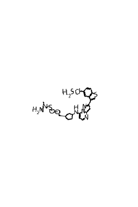 CN(N)SOOCC1CCC(Nc2ccnc3cc(-c4csc5ccc(Cl)cc45)nn23)C1.S